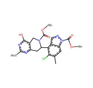 CSc1nc(O)c2c(n1)CC(c1c(Cl)c(C)cc3c1cnn3C(=O)OC(C)(C)C)N(C(=O)OC(C)(C)C)C2